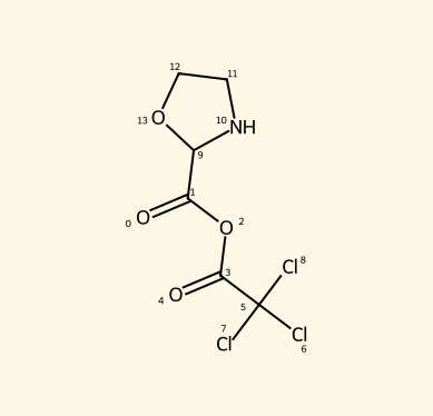 O=C(OC(=O)C(Cl)(Cl)Cl)C1NCCO1